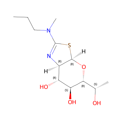 CCCN(C)C1=N[C@@H]2[C@@H](O)[C@H](O)[C@@H]([C@H](C)O)O[C@@H]2S1